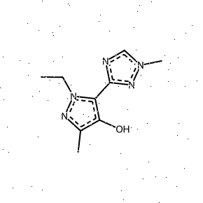 CCn1nc(C)c(O)c1-c1ncn(C)n1